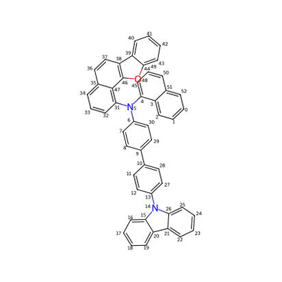 c1ccc2c(N(c3ccc(-c4ccc(-n5c6ccccc6c6ccccc65)cc4)cc3)c3cccc4ccc5c6ccccc6oc5c34)cccc2c1